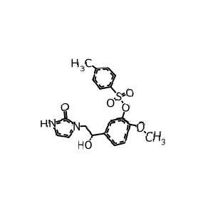 COc1ccc(C(O)Cn2cc[nH]c2=O)cc1OS(=O)(=O)c1ccc(C)cc1